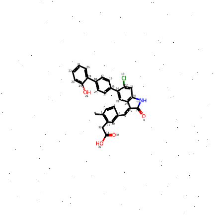 Cc1ccc(/C=C2/C(=O)Nc3cc(Cl)c(-c4ccc(-c5ccccc5O)cc4)cc32)cc1CC(=O)O